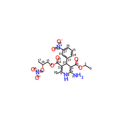 CCOC(=O)C1=C(N)NC(C)=C(C(=O)OCC(C)O[N+](=O)[O-])C1c1cccc([N+](=O)[O-])c1